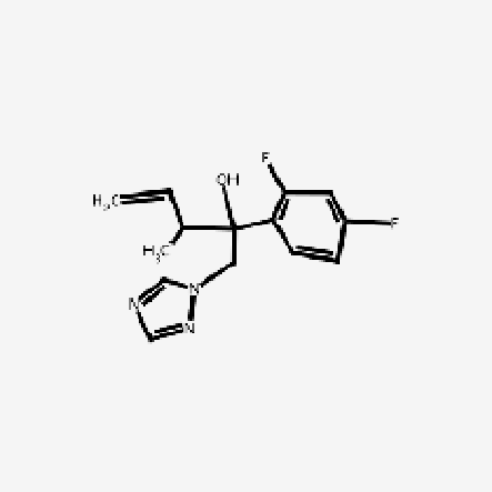 C=CC(C)C(O)(Cn1cncn1)c1ccc(F)cc1F